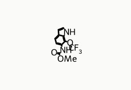 COC(=O)Nc1ccc2cc[nH]c2c1OC(F)(F)F